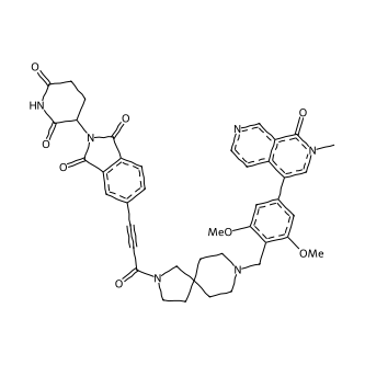 COc1cc(-c2cn(C)c(=O)c3cnccc23)cc(OC)c1CN1CCC2(CC1)CCN(C(=O)C#Cc1ccc3c(c1)C(=O)N(C1CCC(=O)NC1=O)C3=O)C2